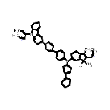 C/C=C\C1=C(C)c2ccc(N(c3ccc(-c4ccccc4)cc3)c3ccc(-c4ccc(-c5ccc6c(c5)c5ccccc5n6C(/C=C\C)=C/C)cc4)cc3)cc2C1(C)C